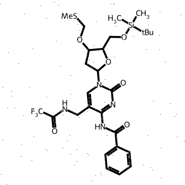 CSCOC1CC(n2cc(CNC(=O)C(F)(F)F)c(NC(=O)c3ccccc3)nc2=O)OC1CO[Si](C)(C)C(C)(C)C